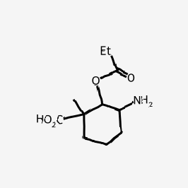 CCC(=O)OC1C(N)CCCC1(C)C(=O)O